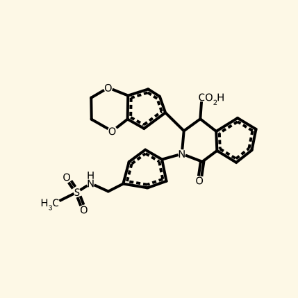 CS(=O)(=O)NCc1ccc(N2C(=O)c3ccccc3C(C(=O)O)C2c2ccc3c(c2)OCCO3)cc1